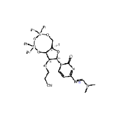 CC(C)[Si]1(C(C)C)OC[C@H]2O[C@@H](n3ccc(/N=C/N(C)C)nc3=O)[C@@H](OCCC#N)C2O[Si](C(C)C)(C(C)C)O1